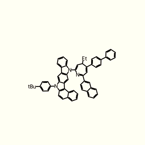 CCC1C=C(n2c3ccccc3c3cc4c(cc32)c2c3ccccc3ccc2n4-c2ccc(C(C)(C)C)cc2)N=C(c2ccc3ccccc3c2)C=C1c1ccc(-c2ccccc2)cc1